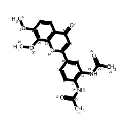 COc1ccc2c(=O)cc(-c3ccc(NC(C)=O)c(NC(C)=O)c3)oc2c1OC